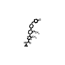 CC[C@H]1CN(c2ncc(C(=O)NC3CC3)nc2C)CCN1C1CCN(Cc2ccc(Cl)cc2)CC1